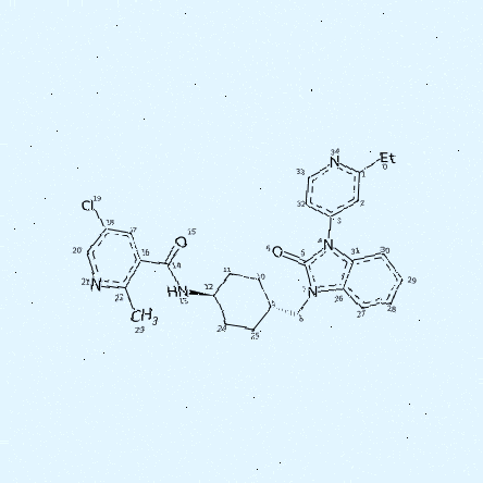 CCc1cc(-n2c(=O)n(C[C@H]3CC[C@H](NC(=O)c4cc(Cl)cnc4C)CC3)c3ccccc32)ccn1